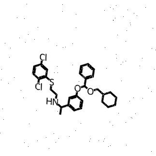 CC(NCCSc1cc(Cl)ccc1Cl)c1cccc(OC(OCC2CCCCC2)c2ccccc2)c1